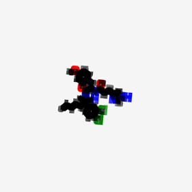 CCCCCC1(c2ccc(Cl)c(Cl)c2)CN(C(=O)[C@@H](Cc2ccc(OC)cc2)NC(=O)CCc2c[nH]cn2)C1